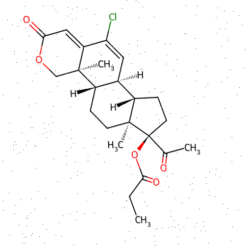 CCC(=O)O[C@]1(C(C)=O)CC[C@H]2[C@@H]3C=C(Cl)C4=CC(=O)OC[C@]4(C)[C@H]3CC[C@@]21C